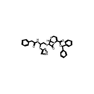 O=C(Cc1ccccc1)NC(CS[C@@H]1C(=O)N2C(C(=O)OC(c3ccccc3)c3ccccc3)=CCS[C@@H]12)Sc1c[nH]nn1